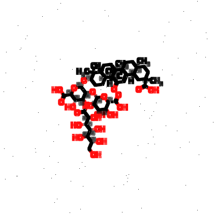 CC1(C)[C@@H](O[C@H]2O[C@H](C(=O)O)[C@@H](O)[C@H](OC(=O)[C@@H](O)[C@@H](O)[C@H](O)[C@H](O)[C@H](O)CO)[C@H]2O[C@@H]2O[C@H](C(=O)O)[C@@H](O)[C@H](O)[C@H]2O)CC[C@]2(C)[C@H]3C(=O)C=C4[C@@H]5C[C@@](C)(C(=O)O)CC[C@]5(C)CC[C@@]4(C)[C@]3(C)CC[C@@H]12